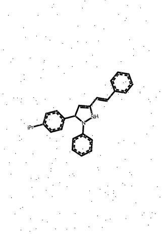 CC(C)c1ccc(C2C=C(C=Cc3ccccc3)NN2c2ccccc2)cc1